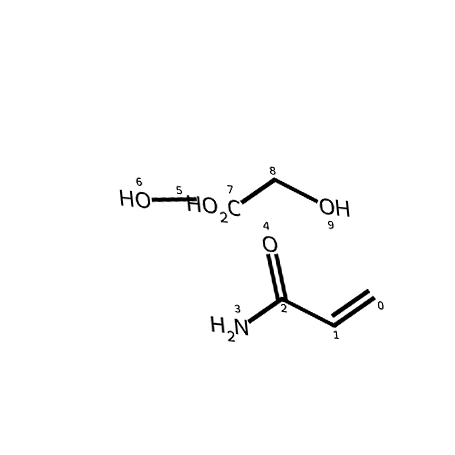 C=CC(N)=O.CO.O=C(O)CO